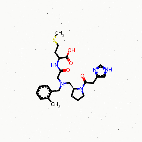 CSCCC(NC(=O)CN(Cc1ccccc1C)C[C@@H]1CCCN1C(=O)Cc1c[nH]cn1)C(=O)O